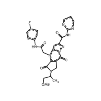 COCC(C)N1Cc2c(n(CC(=O)Nc3ccc(F)cn3)c3cc(C(=O)Nc4ncccn4)nn3c2=O)C1=O